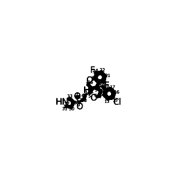 O=S(=O)(CC[C@@H]1OCC[C@@]2(Cc3ccc(Cl)cc3)c3c(F)ccc(F)c3OC[C@@H]12)[C@@H]1CCNC1